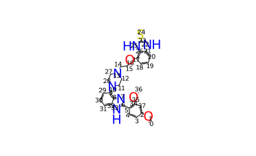 COc1ccc(-c2nc3c(N4CCN(CCOc5cccc6[nH]c(=S)[nH]c56)CC4)cccc3[nH]2)c(OC)c1